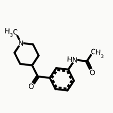 CC(=O)Nc1cccc(C(=O)C2CCN(C)CC2)c1